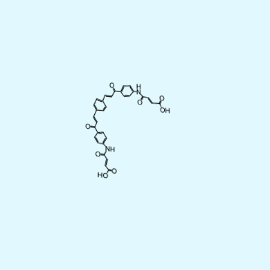 O=C(O)C=CC(=O)Nc1ccc(C(=O)C=Cc2ccc(C=CC(=O)c3ccc(NC(=O)C=CC(=O)O)cc3)cc2)cc1